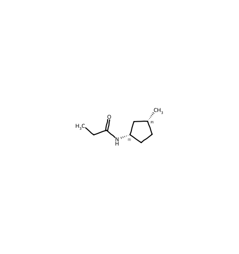 CCC(=O)N[C@H]1CC[C@@H](C)C1